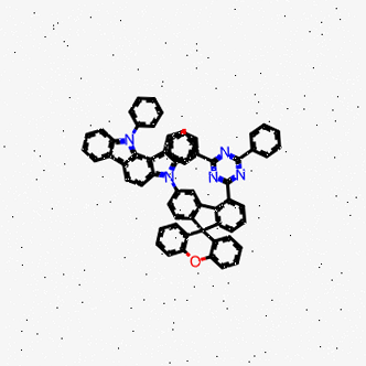 c1ccc(-c2nc(-c3ccccc3)nc(-c3cccc4c3-c3cc(-n5c6ccccc6c6c5ccc5c7ccccc7n(-c7ccccc7)c56)ccc3C43c4ccccc4Oc4ccccc43)n2)cc1